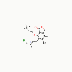 CCc1c(C)c2c(c(OCC[Si](C)(C)C)c1C/C=C(\C)CBr)C(=O)OC2